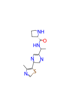 Cc1ncsc1-c1cnc(C(C)NC(=O)[C@@H]2CCCN2)cn1